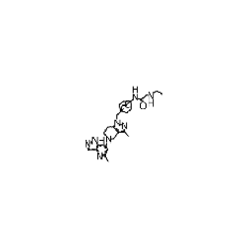 CCNCC(=O)NC12CCC(Cn3nc(C)c4c3CCN(c3cc(C)nc5cn[nH]c35)C4)(CC1)CC2